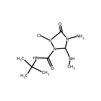 CNC1N(N)C(=O)N(Cl)N1C(=O)NC(C)(C)C